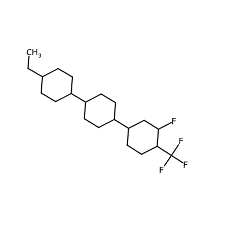 CCC1CCC(C2CCC(C3CCC(C(F)(F)F)C(F)C3)CC2)CC1